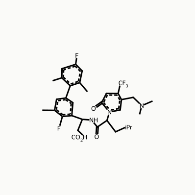 Cc1cc(-c2c(C)cc(F)cc2C)cc(C(CC(=O)O)NC(=O)C(CC(C)C)n2cc(CN(C)C)c(C(F)(F)F)cc2=O)c1F